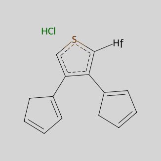 Cl.[Hf][c]1scc(C2=CC=CC2)c1C1=CC=CC1